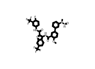 COc1ccc(-c2cccc(N(C)[SH]=O)c2)cc1C(=O)Nc1c(C(=O)Nc2ccc(F)c(C(F)(F)F)c2)sc2cc(C(F)(F)F)ccc12